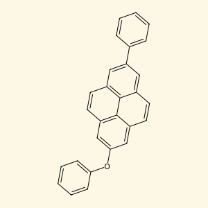 c1ccc(Oc2cc3ccc4cc(-c5ccccc5)cc5ccc(c2)c3c45)cc1